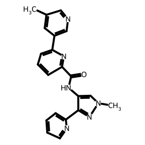 Cc1cncc(-c2cccc(C(=O)Nc3cn(C)nc3-c3ccccn3)n2)c1